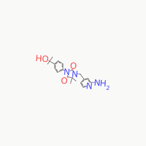 CC(C)(O)c1ccc(N2C(=O)N(Cc3ccnc(N)c3)C(C)(C)C2=O)cc1